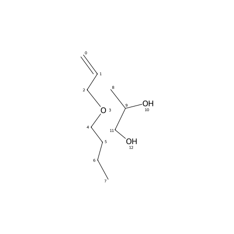 C=CCOCCCC.CC(O)CO